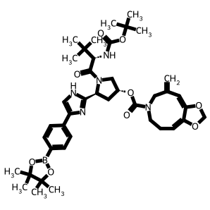 C=C1/C=C2/OCO/C2=C/CCN(C(=O)O[C@@H]2C[C@@H](c3nc(-c4ccc(B5OC(C)(C)C(C)(C)O5)cc4)c[nH]3)N(C(=O)[C@@H](NC(=O)OC(C)(C)C)C(C)(C)C)C2)C1